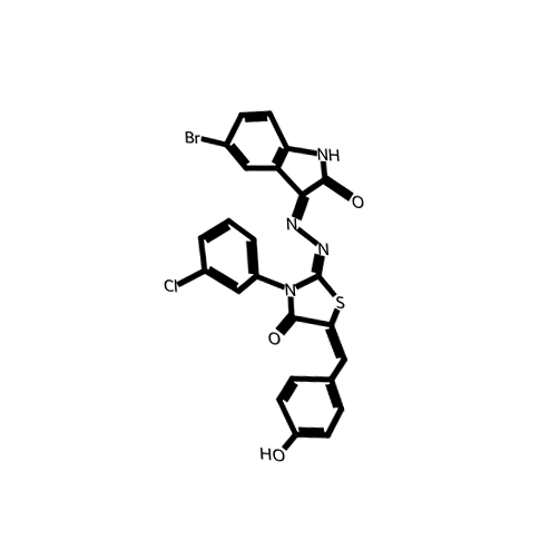 O=C1Nc2ccc(Br)cc2C1=NN=C1SC(=Cc2ccc(O)cc2)C(=O)N1c1cccc(Cl)c1